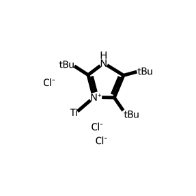 CC(C)(C)c1[nH]c(C(C)(C)C)[n+]([Ti])c1C(C)(C)C.[Cl-].[Cl-].[Cl-]